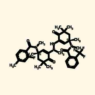 Cc1ccc(C(=O)N(C)[C@]2(C)C=C(N(C)NC3=C[C@@](C)(N(C)C(=O)c4ccccc4C(F)(F)F)CC(C)(C)C3=O)C(=O)C(C)(C)C2)c(F)c1